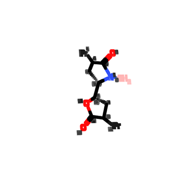 BN1C(=O)C(C(C)C)C[C@H]1[C@@H]1CC(C(C)C)C(=O)O1